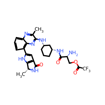 Cc1nc2cccc(-c3cc4c([nH]3)[C@@H](C)NC4=O)c2nc1N[C@H]1CCC[C@@H](NC(=O)[C@H](N)COC(=O)C(F)(F)F)C1